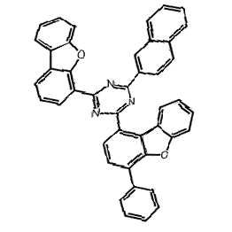 c1ccc(-c2ccc(-c3nc(-c4ccc5ccccc5c4)nc(-c4cccc5c4oc4ccccc45)n3)c3c2oc2ccccc23)cc1